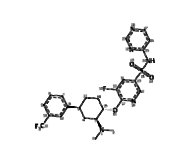 CN(C)[C@H]1C[C@@H](c2cccc(C(F)(F)F)c2)CC[C@@H]1Oc1ncc(S(=O)(=O)Nc2ccncn2)cc1F